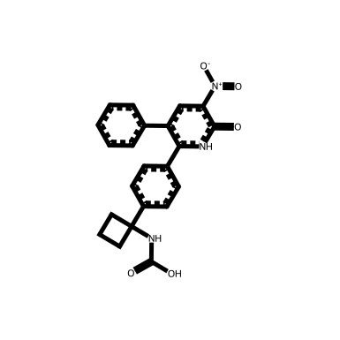 O=C(O)NC1(c2ccc(-c3[nH]c(=O)c([N+](=O)[O-])cc3-c3ccccc3)cc2)CCC1